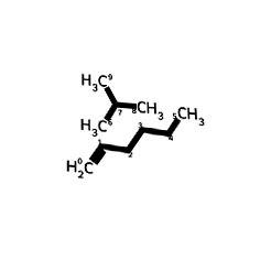 C=CCCCC.CC(C)C